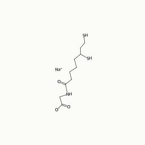 O=C([O-])CNC(=O)CCCCC(S)CCS.[Na+]